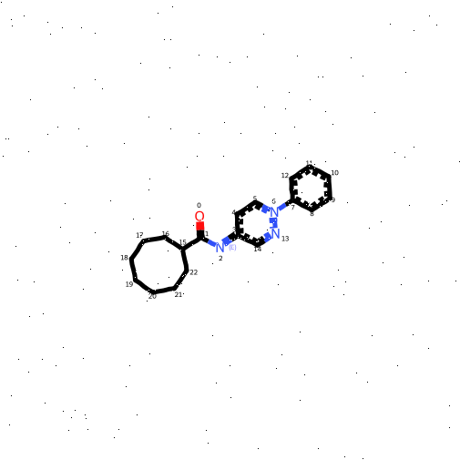 O=C(/N=c1\ccn(-c2ccccc2)nc1)C1CCCCCCC1